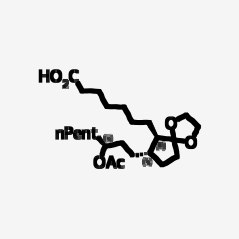 CCCCC[C@@H](CC[C@H]1CCC2(OCCO2)[C@@H]1CCCCCCC(=O)O)OC(C)=O